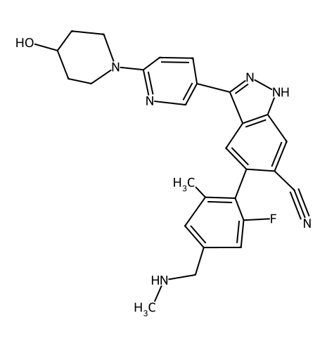 CNCc1cc(C)c(-c2cc3c(-c4ccc(N5CCC(O)CC5)nc4)n[nH]c3cc2C#N)c(F)c1